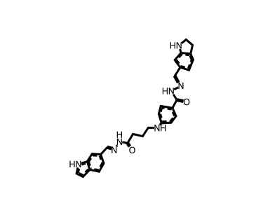 O=C(CCCNc1ccc(C(=O)N/N=C/c2ccc3c(c2)NCC3)cc1)N/N=C/c1ccc2cc[nH]c2c1